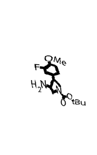 COc1ccc(C2CN(C(=O)OC(C)(C)C)CC2N)cc1F